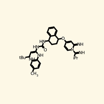 Cc1ccc(N/C(=C\C(=N)C(C)(C)C)NC(=O)NC2CCC(Oc3ccn(C(=N)C(C)C)c(=N)c3)c3ccccc32)cc1